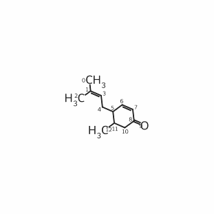 CC(C)=CCC1C=CC(=O)CC1C